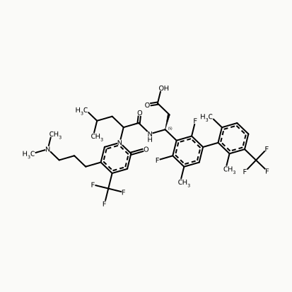 Cc1cc(-c2c(C)ccc(C(F)(F)F)c2C)c(F)c([C@H](CC(=O)O)NC(=O)C(CC(C)C)n2cc(CCCN(C)C)c(C(F)(F)F)cc2=O)c1F